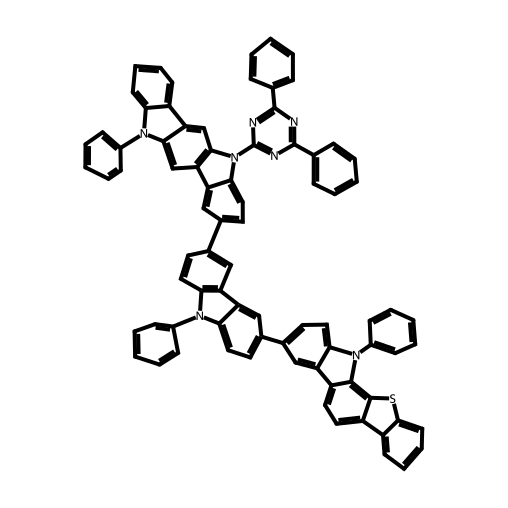 c1ccc(-c2nc(-c3ccccc3)nc(-n3c4ccc(-c5ccc6c(c5)c5cc(-c7ccc8c(c7)c7ccc9c%10ccccc%10sc9c7n8-c7ccccc7)ccc5n6-c5ccccc5)cc4c4cc5c(cc43)c3ccccc3n5-c3ccccc3)n2)cc1